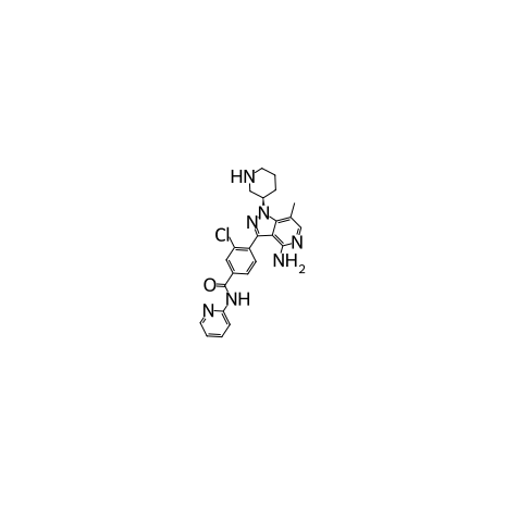 Cc1cnc(N)c2c(-c3ccc(C(=O)Nc4ccccn4)cc3Cl)nn([C@@H]3CCCNC3)c12